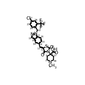 CN1CCC(C(=O)O)(N2C(=O)S/C(=C\c3ccc4c(cnn4Cc4ccc(Cl)cc4C(F)(F)F)c3)C2=O)CC1